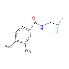 COc1ccc(C(=O)NCC(F)F)cc1C